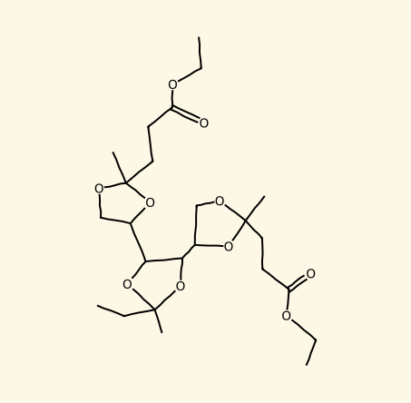 CCOC(=O)CCC1(C)OCC(C2OC(C)(CC)OC2C2COC(C)(CCC(=O)OCC)O2)O1